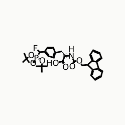 CC(C)(C)OP(=O)(OC(C)(C)C)C(F)c1ccc(C[C@H](NC(=O)OCC2c3ccccc3-c3ccccc32)C(=O)O)cc1